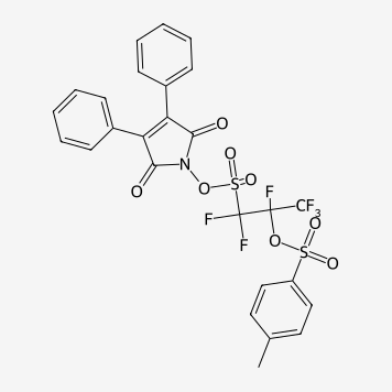 Cc1ccc(S(=O)(=O)OC(F)(C(F)(F)F)C(F)(F)S(=O)(=O)ON2C(=O)C(c3ccccc3)=C(c3ccccc3)C2=O)cc1